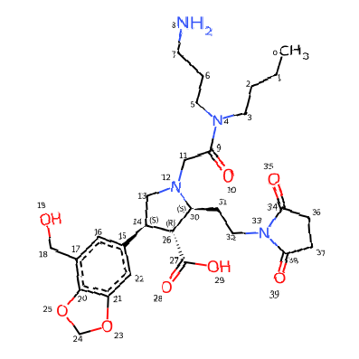 CCCCN(CCCN)C(=O)CN1C[C@H](c2cc(CO)c3c(c2)OCO3)[C@@H](C(=O)O)[C@@H]1CCN1C(=O)CCC1=O